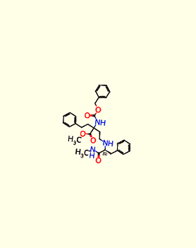 CNC(=O)[C@H](Cc1ccccc1)NCCC(CCc1ccccc1)(NC(=O)OCc1ccccc1)C(=O)OC